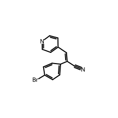 N#C/C(=C/c1ccncc1)c1ccc(Br)cc1